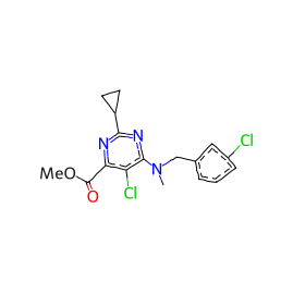 COC(=O)c1nc(C2CC2)nc(N(C)Cc2cccc(Cl)c2)c1Cl